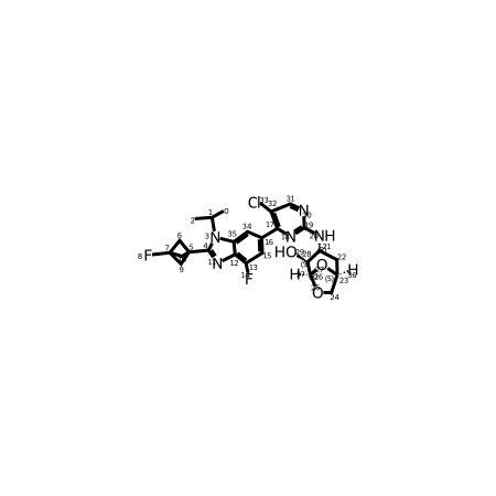 CC(C)n1c(C23CC(F)(C2)C3)nc2c(F)cc(-c3nc(N[C@@H]4C[C@H]5CO[C@H](O5)[C@H]4O)ncc3Cl)cc21